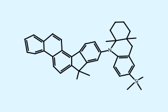 CC1(C)c2cc(N3c4ccc([Si](C)(C)C)cc4CC4(C)CCCCC34C)ccc2-c2c1ccc1c2ccc2ccccc21